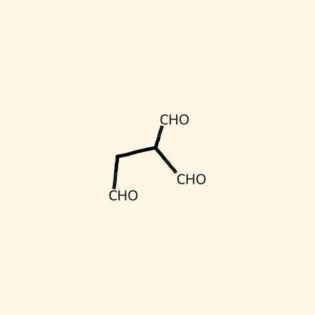 O=CCC(C=O)C=O